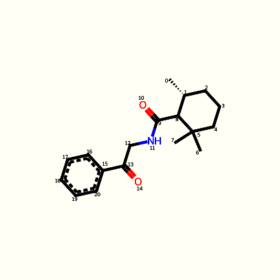 C[C@@H]1CCCC(C)(C)C1C(=O)NCC(=O)c1ccccc1